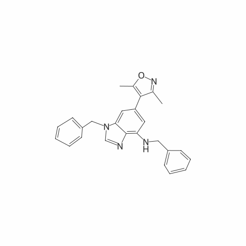 Cc1noc(C)c1-c1cc(NCc2ccccc2)c2ncn(Cc3ccccc3)c2c1